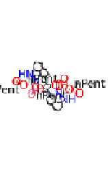 CCCCCC(=O)OCC1(COC(=O)CCCCC)N=c2/c(=C3/C(=O)C(c4ccc5cccc6c5c4NC(COC(=O)CCCCC)(COC(=O)CCCCC)N6)=C3O)ccc3cccc(c23)N1